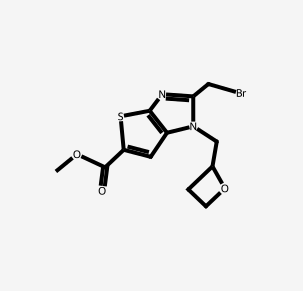 COC(=O)c1cc2c(nc(CBr)n2CC2CCO2)s1